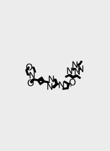 Cc1nc2nc(C)c(O[C@@H]3CCN(c4cnc(C56CC(C(=O)N7CCOCC7)(C5)C6)nc4)C3)c(C)n2n1